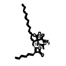 CCCCCCCCCCCC(C[C@@H]1OC(=O)[C@H]1CCCCCC)[C@@](NC(C)=O)(C(N)=O)C(=O)O